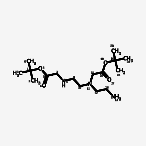 CC(C)(C)OC(=O)CNCCN(CCN)CC(=O)OC(C)(C)C